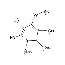 CCCCCCCCCCc1c(O)c(O)c(OCCCCCCCCC)c(CCCCCCCCCC)c1CCCCCCCCCC